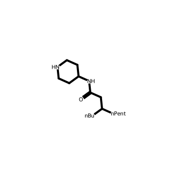 CCCCCC(CCCC)CC(=O)NC1CCNCC1